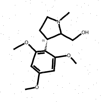 COc1cc(OC)c([C@@H]2CCN(C)C2CO)c(OC)c1